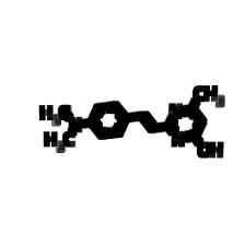 Cc1cc(O)nc(C=Cc2ccc(N(C)C)cc2)n1